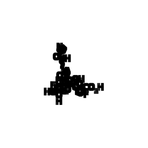 O=C(NCCCN1CCN(C(=O)NC(C(=O)N[C@H]2Cc3ccc(F)c(C(=O)O)c3OB2O)c2cc(F)c(O)c(O)c2Cl)C1=O)c1cccnc1